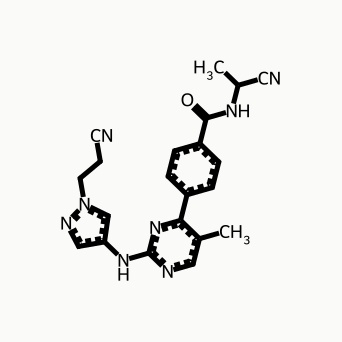 Cc1cnc(Nc2cnn(CCC#N)c2)nc1-c1ccc(C(=O)NC(C)C#N)cc1